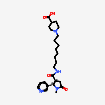 CN1C(=O)C[C@H](C(=O)NCCCCCCCCN2CCC(C(=O)O)CC2)[C@H]1c1cccnc1